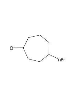 CCCC1CCCC(=O)CC1